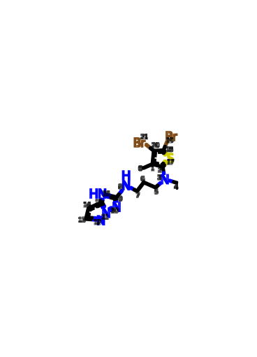 Cc1c(N(C)CCCNc2nn3nccc3[nH]2)sc(Br)c1Br